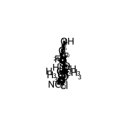 CC1(C)[C@H](NC(=O)c2cc(F)c(CCOCCCO)c(F)c2)C(C)(C)[C@H]1Oc1ccc(C#N)c(Cl)c1